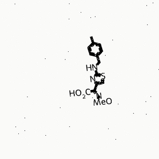 CON=C(C(=O)O)c1csc(NCc2ccc(C)cc2)n1